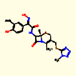 COc1cc(/C(=N\O)C(=O)NC2C(=O)N3C(C(=O)O)=C(CSc4nnnn4C)CS[C@H]23)ccc1O